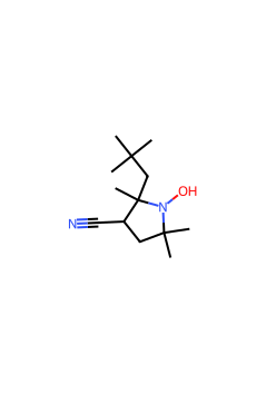 CC(C)(C)CC1(C)C(C#N)CC(C)(C)N1O